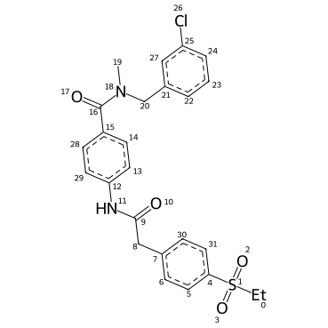 CCS(=O)(=O)c1ccc(CC(=O)Nc2ccc(C(=O)N(C)Cc3cccc(Cl)c3)cc2)cc1